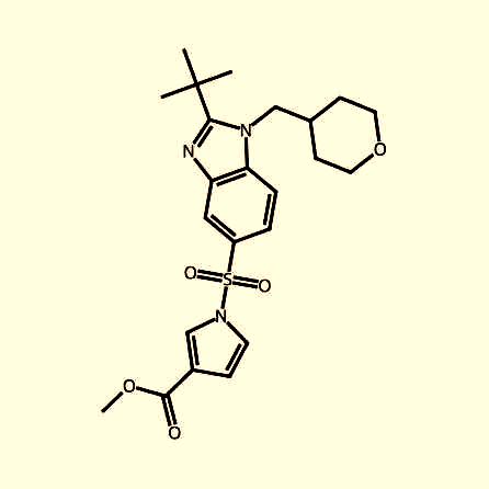 COC(=O)c1ccn(S(=O)(=O)c2ccc3c(c2)nc(C(C)(C)C)n3CC2CCOCC2)c1